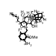 Bc1ccc(F)c(CN2O[C@@H](CN=[N+]=[N-])[C@@H]([C@H](C)O)[C@H]2C(O)N[C@H]2C[C@H]3C[C@@H]([C@@H]2C)C3(C)C)c1OC